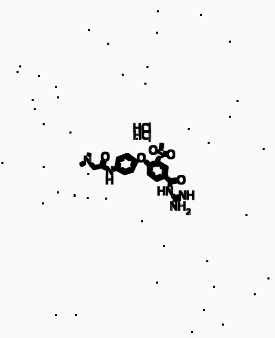 CN(C)CC(=O)Nc1ccc(Oc2ccc(C(=O)NC(=N)N)cc2S(C)(=O)=O)cc1.Cl.Cl